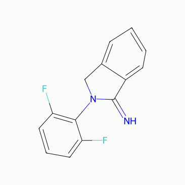 N=C1c2ccccc2CN1c1c(F)cccc1F